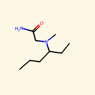 CCCC(CC)N(C)CC(N)=O